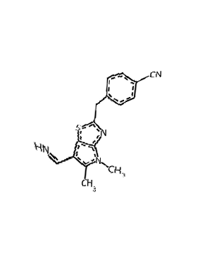 Cc1c(C=N)c2sc(Cc3ccc(C#N)cc3)nc2n1C